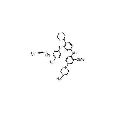 CC#CCNc1cc(Oc2nc(Nc3ccc(N4CCN(C)CC4)cc3OC)ccc2N2CCCCC2)ccc1C